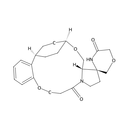 O=C1COC[C@]2(CCN3C(=O)CCOc4ccccc4[C@H]4CC[C@H](CC4)OC[C@@H]32)N1